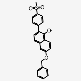 CS(=O)(=O)c1ccc(-c2ccc3cc(OCc4ccccc4)ccc3c2[O])cc1